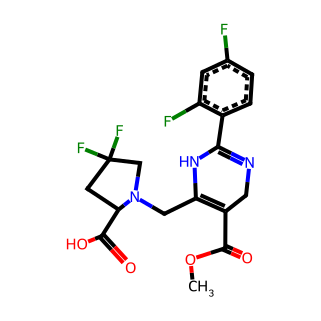 COC(=O)C1=C(CN2CC(F)(F)CC2C(=O)O)NC(c2ccc(F)cc2F)=NC1